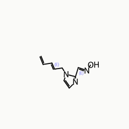 C=C/C=C/Cn1ccnc1/C=N/O